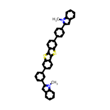 Cn1c(-c2ccc(-c3ccc4c(c3)sc3c5ccc(-c6cccc(-c7cc8ccccc8n7C)c6)cc5sc43)cc2)cc2ccccc21